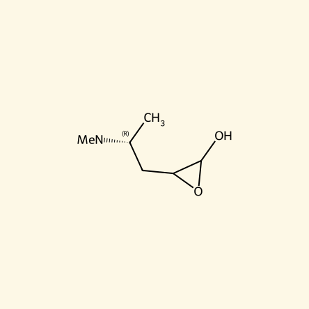 CN[C@H](C)CC1OC1O